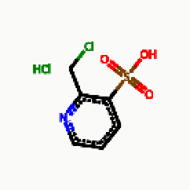 Cl.O=S(=O)(O)c1cccnc1CCl